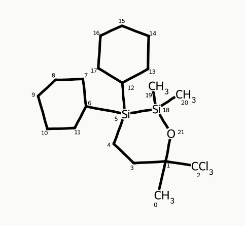 CC1(C(Cl)(Cl)Cl)CC[Si](C2CCCCC2)(C2CCCCC2)[Si](C)(C)O1